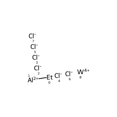 C[CH2][Al+2].[Cl-].[Cl-].[Cl-].[Cl-].[Cl-].[Cl-].[W+4]